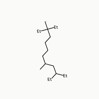 [CH2]C(CC)(CC)CCCCC(C)CC(CC)CC